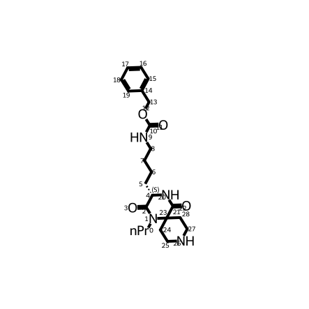 CCCN1C(=O)[C@H](CCCCNC(=O)OCc2ccccc2)NC(=O)C12CCNCC2